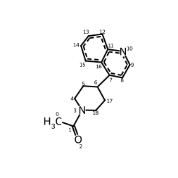 CC(=O)N1CCC(c2ccnc3ccccc23)CC1